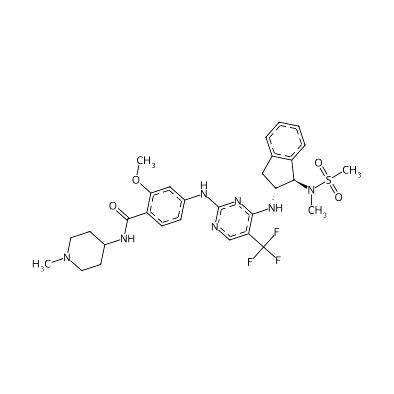 COc1cc(Nc2ncc(C(F)(F)F)c(N[C@@H]3Cc4ccccc4[C@H]3N(C)S(C)(=O)=O)n2)ccc1C(=O)NC1CCN(C)CC1